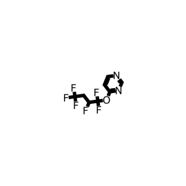 FC(CC(F)(F)F)C(F)(F)Oc1ccncn1